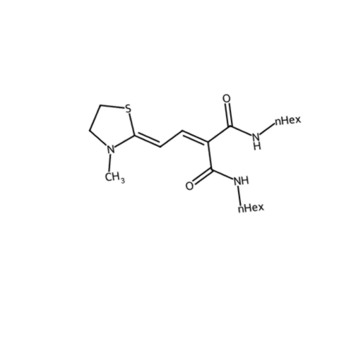 CCCCCCNC(=O)C(=C/C=C1\SCCN1C)C(=O)NCCCCCC